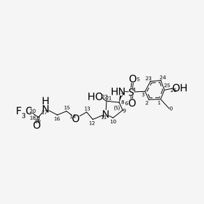 Cc1cc(S(=O)(=O)N[C@H]2CCN(CCOCCNC(=O)C(F)(F)F)C2O)ccc1O